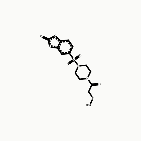 CC(C)(C)OCC(=O)N1CCN(S(=O)(=O)c2ccc3sc(=O)sc3c2)CC1